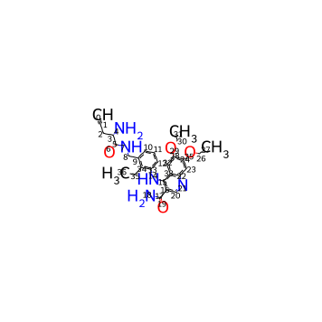 C#CC[C@H](N)C(=O)NCc1cccc(Nc2c(C(N)=O)cnc3cc(OCC)c(OCC)cc23)c1CC